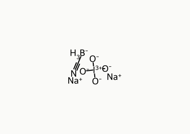 [BH3-]C#N.[Na+].[Na+].[O-][I+3]([O-])([O-])[O-]